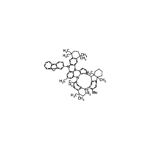 Cc1cc2c3c(c1)N1c4cc5c(cc4C)C(C)(C)CCC5(C)c4cc5c(cc4C(C)(C)C)C4(C)CCCCC4(C)C5c4ccc(c1c4)B3c1cc3c(cc1N2c1ccc2c(c1)oc1ccccc12)C(C)(C)CCC3(C)C